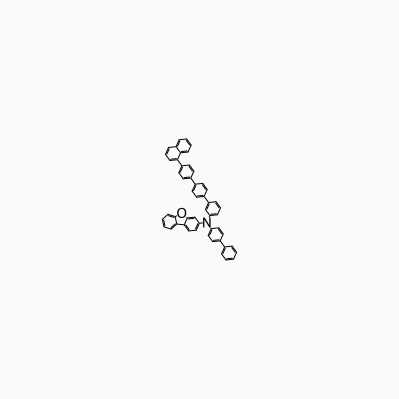 c1ccc(-c2ccc(N(c3cccc(-c4ccc(-c5ccc(-c6cccc7ccccc67)cc5)cc4)c3)c3ccc4c(c3)oc3ccccc34)cc2)cc1